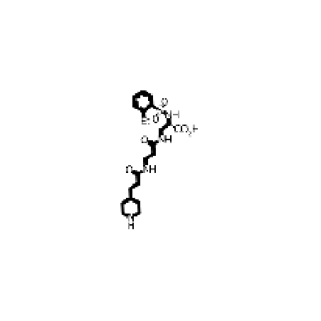 CCc1ccccc1S(=O)(=O)N[C@@H](CNC(=O)CCNC(=O)CCC1CCNCC1)C(=O)O